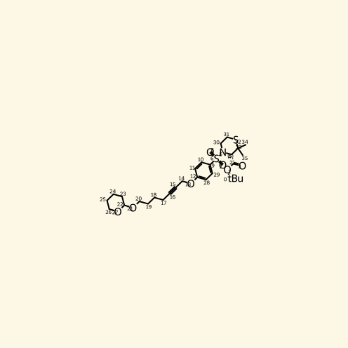 CC(C)(C)OC(=O)[C@@H]1N(S(=O)(=O)c2ccc(OCC#CCCCCOC3CCCCO3)cc2)CCSC1(C)C